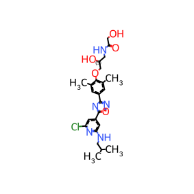 Cc1cc(-c2noc(-c3cc(Cl)nc(NCC(C)C)c3)n2)cc(C)c1OC[C@@H](O)CNC(=O)CO